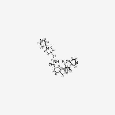 O=C(NCCC1CCN(c2ccncc2)CC1)c1ccc2c(c1)C(NC(=O)c1cnccc1C(F)(F)F)CC2